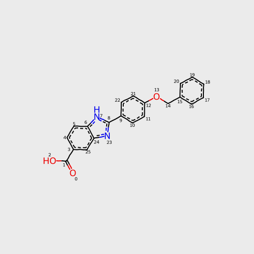 O=C(O)c1ccc2[nH]c(-c3ccc(OCc4ccccc4)cc3)nc2c1